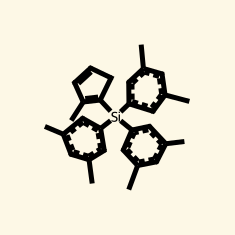 CC1=C([Si](c2cc(C)cc(C)c2)(c2cc(C)cc(C)c2)c2cc(C)cc(C)c2)CC=C1